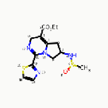 CCOC(=O)C1=C2CC(N[S+](C)[O-])CN2C(c2nccs2)=NC1